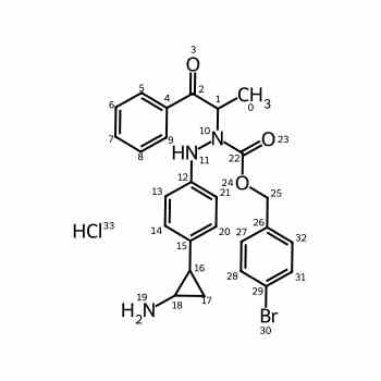 CC(C(=O)c1ccccc1)N(Nc1ccc(C2CC2N)cc1)C(=O)OCc1ccc(Br)cc1.Cl